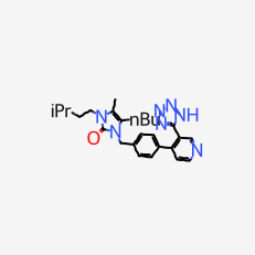 CCCCc1c(C)n(CCC(C)C)c(=O)n1Cc1ccc(-c2ccncc2-c2nnn[nH]2)cc1